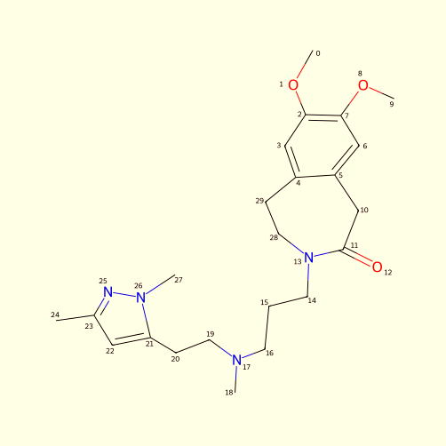 COc1cc2c(cc1OC)CC(=O)N(CCCN(C)CCc1cc(C)nn1C)CC2